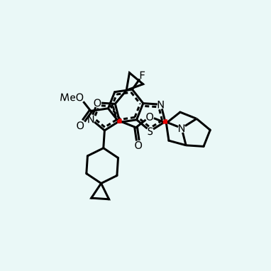 COC(=O)c1cc(F)c2nc(N3C4CCC3CC(OC(=O)c3c(C5CCC6(CC5)CC6)noc3C3CC3)C4)sc2c1